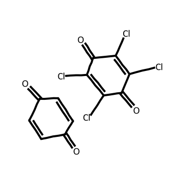 O=C1C(Cl)=C(Cl)C(=O)C(Cl)=C1Cl.O=C1C=CC(=O)C=C1